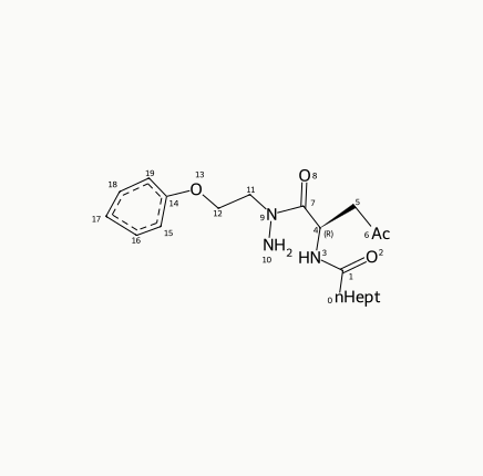 CCCCCCCC(=O)N[C@H](CC(C)=O)C(=O)N(N)CCOc1ccccc1